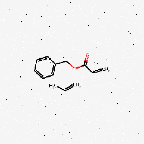 C=CC.C=CC(=O)OCc1ccccc1